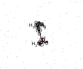 CC(C(=O)c1cccc(Cl)c1)N(C(=O)OCOC(=O)C(=O)CCOCCCCCOC(=O)c1cc(S(N)(=O)=O)c(Cl)cc1NCc1ccco1)C(C)(C)C